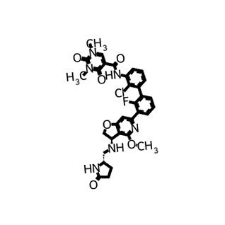 COc1nc(-c2cccc(-c3cccc(NC(=O)c4cn(C)c(=O)n(C)c4=O)c3Cl)c2F)cc2c1[C@@H](NC[C@@H]1CCC(=O)N1)CO2